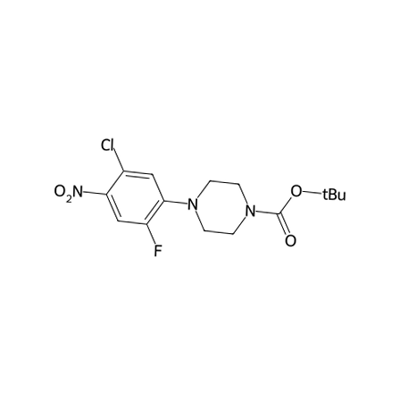 CC(C)(C)OC(=O)N1CCN(c2cc(Cl)c([N+](=O)[O-])cc2F)CC1